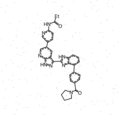 CCC(=O)Nc1ccc(-c2cnc3[nH]nc(-c4nc5c(-c6ccc(C(=O)N7CCCC7)cc6)cccc5[nH]4)c3c2)cn1